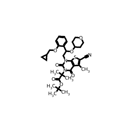 Cc1c(C#N)sc2c1c(=O)n(C(C)(C)C(=O)OC(C)(C)C)c(=O)n2CC(OC1CCOCC1)c1ccccc1OCC1CC1